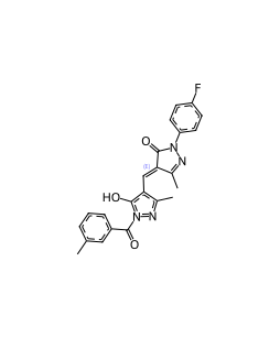 CC1=NN(c2ccc(F)cc2)C(=O)/C1=C/c1c(C)nn(C(=O)c2cccc(C)c2)c1O